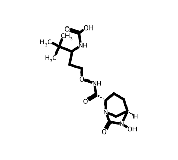 CC(C)(C)C(CCONC(=O)[C@@H]1CC[C@@H]2CN1C(=O)N2O)NC(=O)O